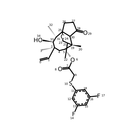 C=C[C@]1(C)C[C@@H](OC(=O)CSc2cc(F)cc(F)c2)[C@]2(C)C(C)CCC3(CCC(=O)C32)[C@@H](C)[C@@H]1O